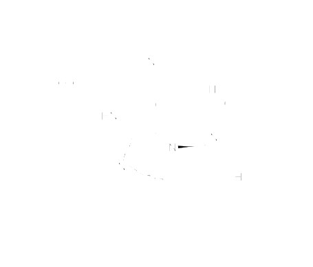 O=C(O)c1ccncc1Nc1nc2ccccc2n([C@H]2C[C@H]3CC[C@@H](C2)N3C2CCCCCCC2)c1=O